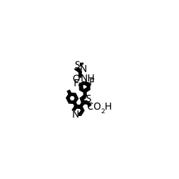 CC1CCC(C2=C(c3cc(-c4cc(F)c(NC(=O)c5cscn5)c(F)c4)sc3C(=O)O)CCN(C)C2)CC1